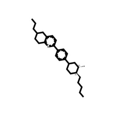 CCCCC[C@H]1CCC(c2ccc(-c3ccc4c(n3)CCC(CCC)C4)cc2)C[C@@H]1C